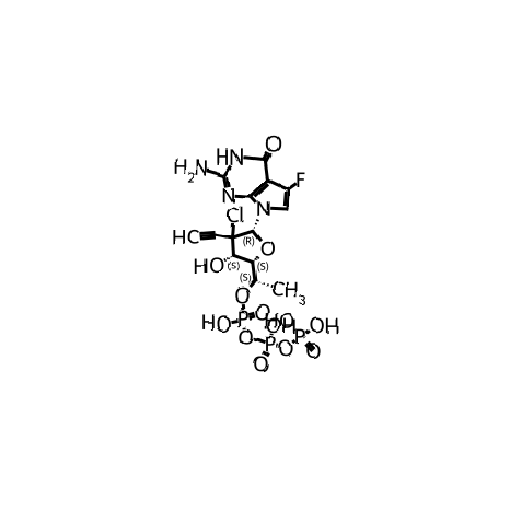 C#CC1(Cl)[C@@H](O)[C@@H]([C@H](C)OP(=O)(O)OP(=O)(O)OP(=O)(O)O)O[C@H]1n1cc(F)c2c(=O)[nH]c(N)nc21